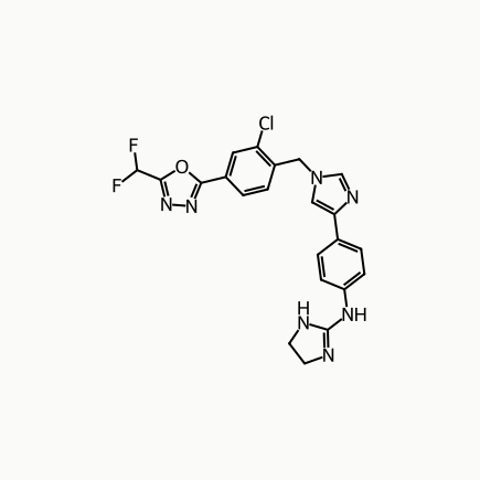 FC(F)c1nnc(-c2ccc(Cn3cnc(-c4ccc(NC5=NCCN5)cc4)c3)c(Cl)c2)o1